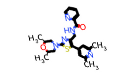 Cc1cc(-c2sc(N3C[C@@H](C)O[C@@H](C)C3)nc2CNC(=O)c2ccccn2)cc(C)n1